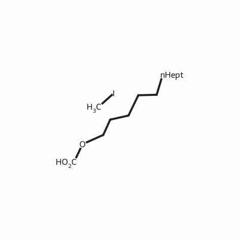 CCCCCCCCCCCCOC(=O)O.CI